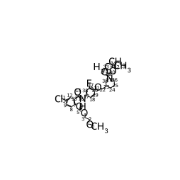 COCCOCOc1ccc(Cl)cc1C(=O)Nc1ccc(OCC2CCCN(C(=O)OC(C)(C)C)C2)c(F)c1